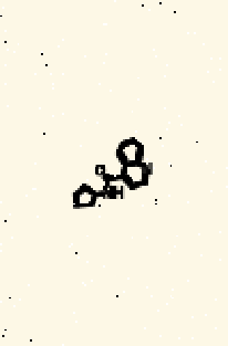 O=C(NC1CCCC1)c1ccnc2ccccc12